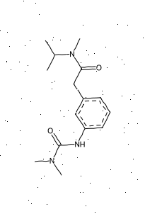 CC(C)N(C)C(=O)Cc1cccc(NC(=O)N(C)C)c1